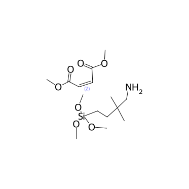 COC(=O)/C=C\C(=O)OC.CO[Si](CCC(C)(C)CN)(OC)OC